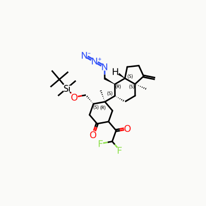 C=C1CC[C@H]2[C@H](CN=[N+]=[N-])[C@@H]([C@@]3(C)CC(C(=O)C(F)F)C(=O)C[C@@H]3CO[Si](C)(C)C(C)(C)C)CC[C@]12C